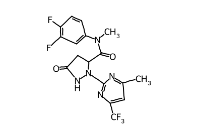 Cc1cc(C(F)(F)F)nc(N2NC(=O)CC2C(=O)N(C)c2ccc(F)c(F)c2)n1